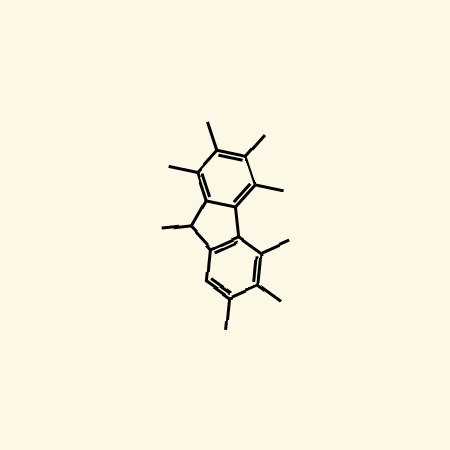 Cc1cc2c(c(C)c1C)-c1c(C)c(C)c(C)c(C)c1C2C